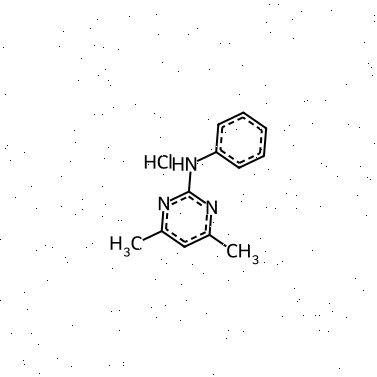 Cc1cc(C)nc(Nc2ccccc2)n1.Cl